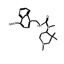 COc1ccc(CNC(=O)N(C)C2CCN(C)CC2(C)C)c2ccccc12